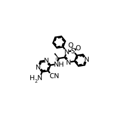 C[C@H](Nc1ncnc(N)c1C#N)C1=Nc2ccncc2S(=O)(=O)N1c1ccccc1